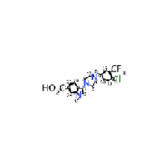 Cn1cc(N2CCN(Cc3ccc(Cl)c(C(F)(F)F)c3)CC2)c2ccc(C(=O)O)cc21